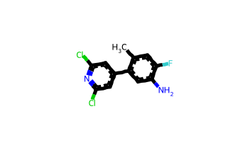 Cc1cc(F)c(N)cc1-c1cc(Cl)nc(Cl)c1